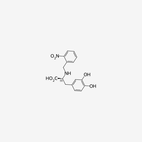 O=C(O)[C@H](Cc1ccc(O)c(O)c1)NCc1ccccc1[N+](=O)[O-]